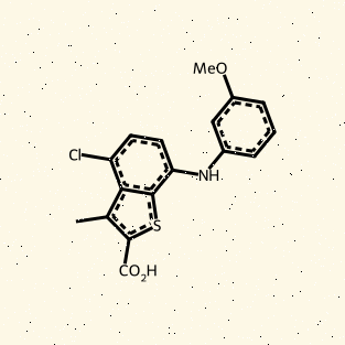 COc1cccc(Nc2ccc(Cl)c3c(C)c(C(=O)O)sc23)c1